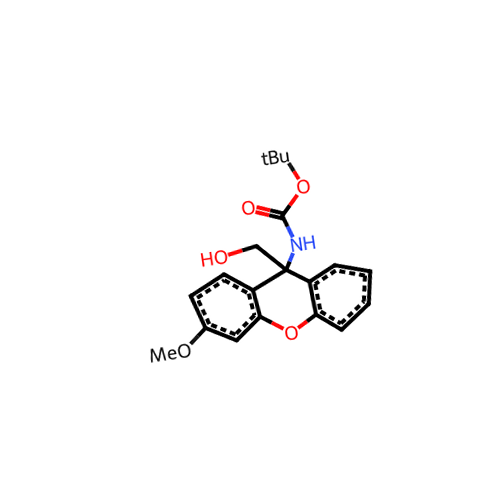 COc1ccc2c(c1)Oc1ccccc1C2(CO)NC(=O)OC(C)(C)C